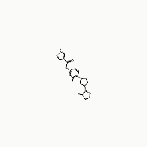 Cc1cc(NC(=O)c2cn[nH]c2)ccc1N1CCC(N2CCCC2C)C1